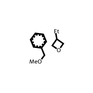 CCC1COC1.COCc1ccccc1